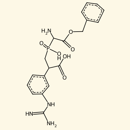 N=C(N)Nc1cccc(C(CP(=O)(O)C(N)C(=O)OCc2ccccc2)C(=O)O)c1